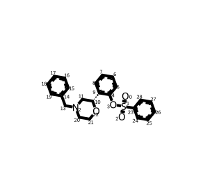 O=S(=O)(Oc1ccccc1[C@H]1CN(Cc2ccccc2)CCO1)c1ccccc1